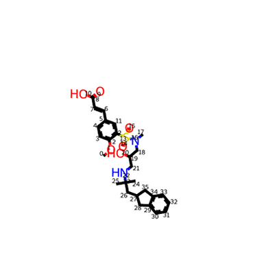 COc1ccc(/C=C/C(=O)O)cc1S(=O)(=O)N(C)CC(O)CNC(C)(C)CC1Cc2ccccc2C1